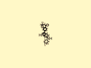 CN1CCC(Nc2ncc3c(-c4ccc5c(c4)OC(C)(C)CC5=O)c[nH]c3n2)CC1